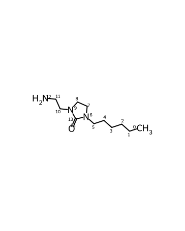 CCCCCCN1CCN(CCN)C1=O